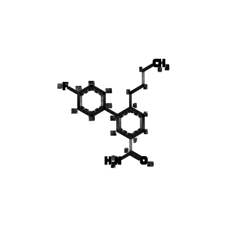 CCCCc1ccc(C(N)=O)cc1-c1ccc(F)cc1